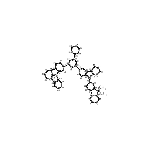 CC1(C)c2ccccc2-c2ccc(-n3c4ccccc4c4cc(-c5cc(-c6ccccc6)cc(-c6ccc7c8cccc9c%10ccccc%10n(c7c6)c98)c5)ccc43)cc21